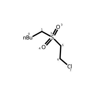 [CH2]CCCCS(=O)(=O)CCCl